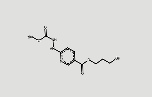 CC(C)(C)OC(=O)NNc1ccc(C(=O)OCCCO)cn1